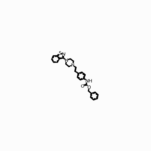 O=C(Nc1ccc(CCN2CCN(c3nsc4ccccc34)CC2)cc1)OCc1ccccc1